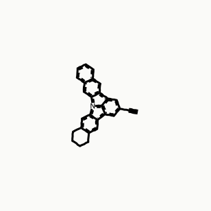 C#Cc1cc2c3cc4c(cc3n3c5cc6ccccc6cc5c(c1)c23)CCCC4